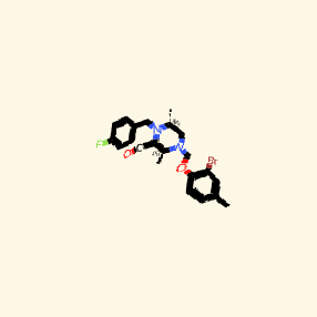 Cc1ccc(OCN2C[C@@H](C)N(Cc3ccc(F)cc3)C(=C=O)[C@@H]2C)c(Br)c1